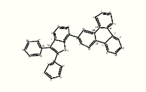 c1ccc(-c2sc3c(-c4ccc5c6ccccc6c6ccccc6c5c4)cccc3c2-c2ccccc2)cc1